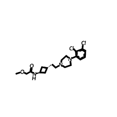 COCC(=O)N[C@H]1C[C@H](CCN2CCN(c3cccc(Cl)c3Cl)CC2)C1